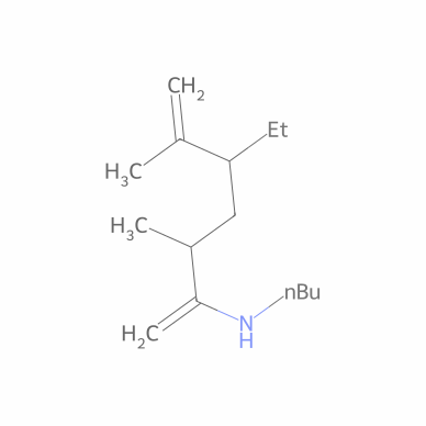 C=C(NCCCC)C(C)CC(CC)C(=C)C